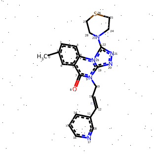 Cc1ccc2c(c1)c(=O)n(C/C=C/c1cccnc1)c1nnc(N3CCSCC3)n21